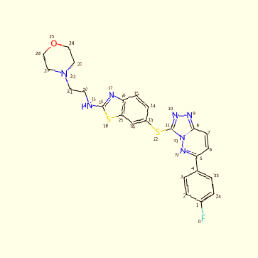 Fc1ccc(-c2ccc3nnc(Sc4ccc5nc(NCCN6CCOCC6)sc5c4)n3n2)cc1